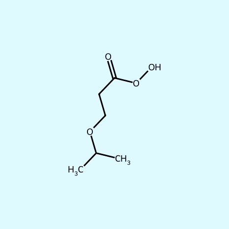 CC(C)OCCC(=O)OO